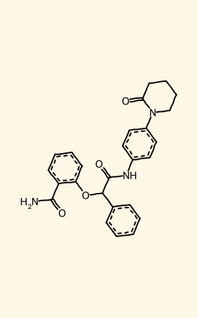 NC(=O)c1ccccc1OC(C(=O)Nc1ccc(N2CCCCC2=O)cc1)c1ccccc1